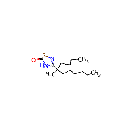 CCCCCCC(C)(CCCC)c1nsc(=O)[nH]1